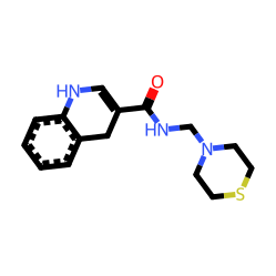 O=C(NCN1CCSCC1)C1=CNc2ccccc2C1